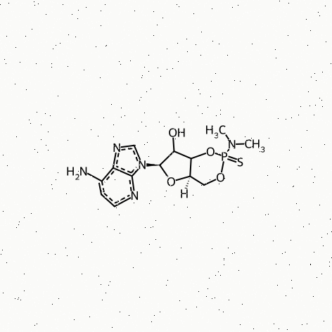 CN(C)P1(=S)OC[C@H]2O[C@@H](n3cnc4c(N)ccnc43)C(O)C2O1